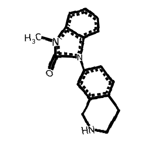 Cn1c(=O)n(-c2ccc3c(c2)CNCC3)c2ccccc21